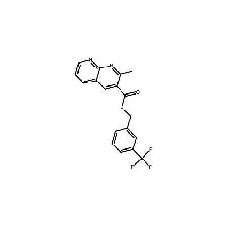 Cc1nc2ncccc2cc1C(=O)OCc1cccc(C(F)(F)F)c1